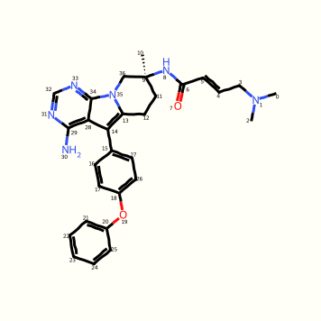 CN(C)C/C=C/C(=O)N[C@@]1(C)CCc2c(-c3ccc(Oc4ccccc4)cc3)c3c(N)ncnc3n2C1